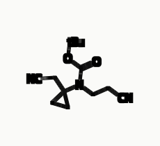 CC(C)(C)OC(=O)N(CCC#N)C1(CC#N)CC1